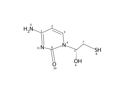 Nc1ccn([C@@H](O)CS)c(=O)n1